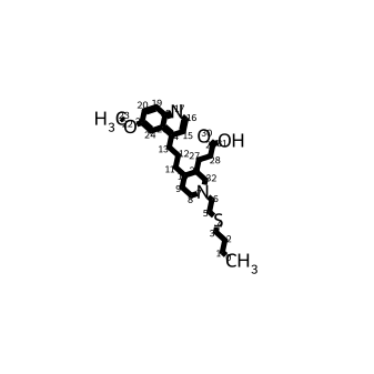 CCCCSCCN1CCC(CCCc2ccnc3ccc(OC)cc23)C(CCC(=O)O)C1